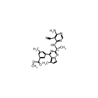 COC(=O)c1cc(C)cc(-c2nc([C@H](C)Nc3ncnc(N)c3C#N)nn3ccc(C)c23)c1